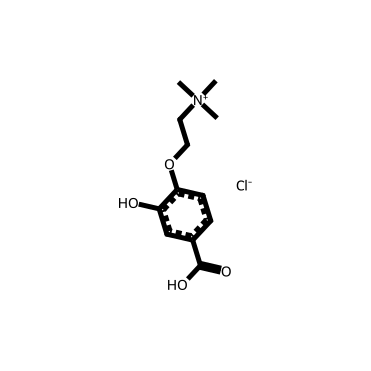 C[N+](C)(C)CCOc1ccc(C(=O)O)cc1O.[Cl-]